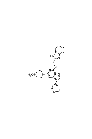 CN1CCN(c2nc(NCc3nc4ccccc4[nH]3)n3ncc(-c4ccncc4)c3n2)CC1